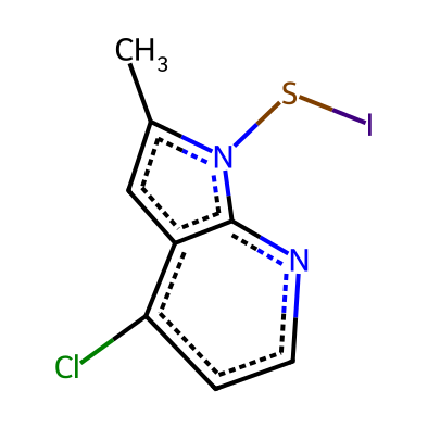 Cc1cc2c(Cl)ccnc2n1SI